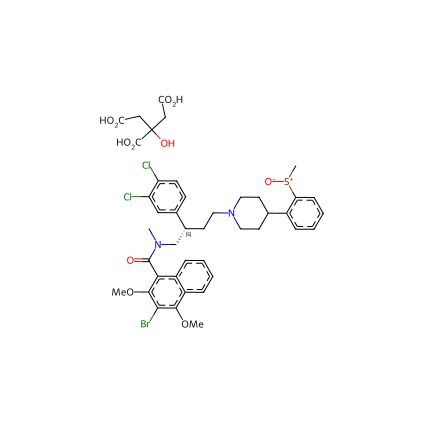 COc1c(Br)c(OC)c2ccccc2c1C(=O)N(C)C[C@@H](CCN1CCC(c2ccccc2[S+](C)[O-])CC1)c1ccc(Cl)c(Cl)c1.O=C(O)CC(O)(CC(=O)O)C(=O)O